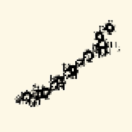 Nc1ncnc2c1c(-c1ccc(Oc3ccccc3)cc1)nn2C1CCN(C2CN(C3C[C@@H]4CN(C5C[C@@H]6CN(c7ccc8c(c7)C(=O)N(C7CCC(=O)NC7=O)C8=O)C[C@@H]6C5)C[C@@H]4C3)C2)CC1